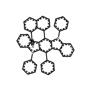 N#Cc1cccc2cccc(-c3c4c5ccccc5n(-c5ccccc5)c4c(-c4ccccc4)c4c5ccccc5n(-c5ccccc5)c34)c12